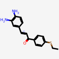 CCSc1ccc(C(=O)/C=C/c2ccc(N)c(N)c2)cc1